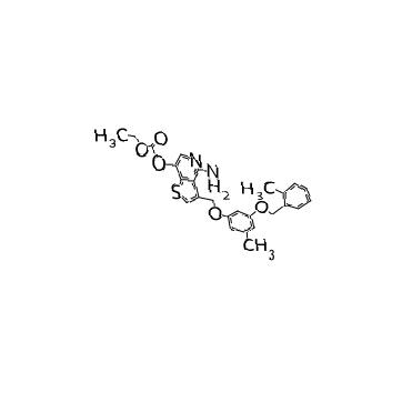 CCOC(=O)Oc1cnc(N)c2c(COc3cc(C)cc(OCc4ccccc4C)c3)csc12